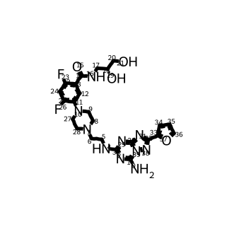 Nc1nc(NCCN2CCN(c3cc(C(=O)NC[C@@H](O)CO)c(F)cc3F)CC2)nc2nc(-c3ccco3)nn12